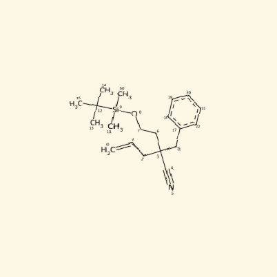 C=CCC(C#N)(CCO[Si](C)(C)C(C)(C)C)Cc1ccccc1